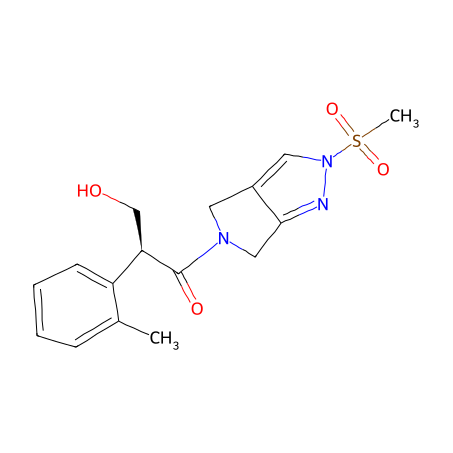 Cc1ccccc1[C@@H](CO)C(=O)N1Cc2cn(S(C)(=O)=O)nc2C1